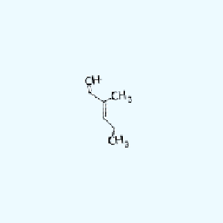 [CH]=C/C(C)=C/CC